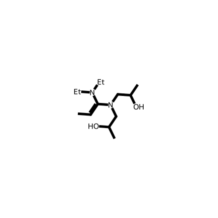 CC=C(N(CC)CC)N(CC(C)O)CC(C)O